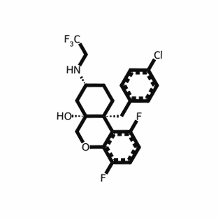 O[C@@]12COc3c(F)ccc(F)c3[C@]1(Cc1ccc(Cl)cc1)CC[C@@H](NCC(F)(F)F)C2